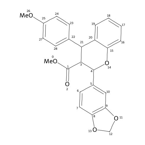 COC(=O)C1C(c2ccc3c(c2)OCO3)Oc2ccccc2C1c1ccc(OC)cc1